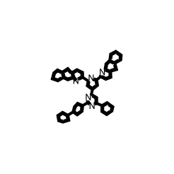 c1ccc(-c2ccc(-c3nc(-c4ccccc4)cc(-c4cc(-c5ccc6cc7ccccc7cc6n5)nc(-c5ccc6cc7ccccc7cc6n5)c4)n3)cc2)cc1